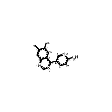 Cc1cc2ncnc(-c3ccc(C#N)nc3)c2cc1C